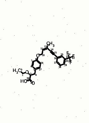 CCOC(Cc1ccc(OCC=C(C)C#Cc2cccc(C(F)(F)F)c2)cc1)C(=O)O